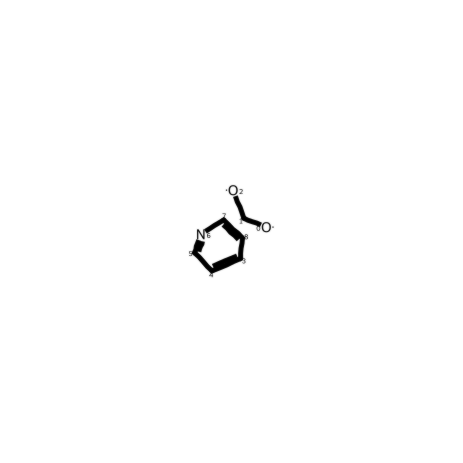 [O]C[O].c1ccncc1